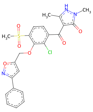 Cc1[nH]n(C)c(=O)c1C(=O)c1ccc(S(C)(=O)=O)c(OCc2cc(-c3ccccc3)no2)c1Cl